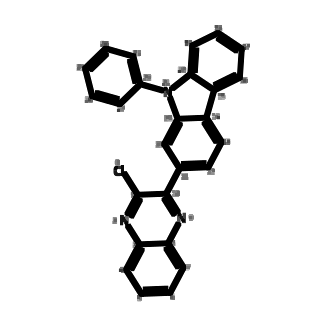 Clc1nc2ccccc2nc1-c1ccc2c3ccccc3n(-c3ccccc3)c2c1